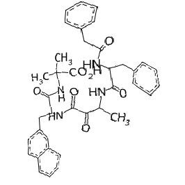 CC(NC(=O)C(Cc1ccccc1)NC(=O)Cc1ccccc1)C(=O)C(=O)NC(Cc1ccc2ccccc2c1)C(=O)NC(C)(C)C(=O)O